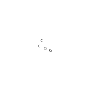 [C].[C].[C].[Cr]